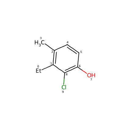 CCc1c(C)ccc(O)c1Cl